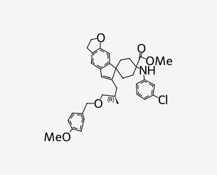 COC(=O)C1(Nc2cccc(Cl)c2)CCC2(CC1)C(C[C@@H](C)COCc1ccc(OC)cc1)=Cc1cc3c(cc12)OCC3